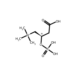 C[N+](C)(C)C[C@@H](CC(=O)O)OP(=O)(O)O